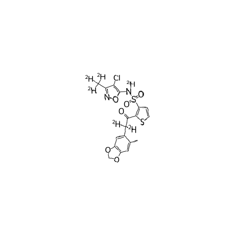 [2H]N(c1onc(C([2H])([2H])[2H])c1Cl)S(=O)(=O)c1ccsc1C(=O)C([2H])([2H])c1cc2c(cc1C)OCO2